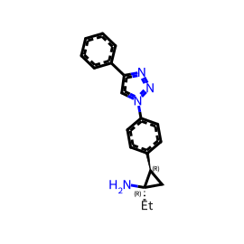 CC[C@@]1(N)C[C@@H]1c1ccc(-n2cc(-c3ccccc3)nn2)cc1